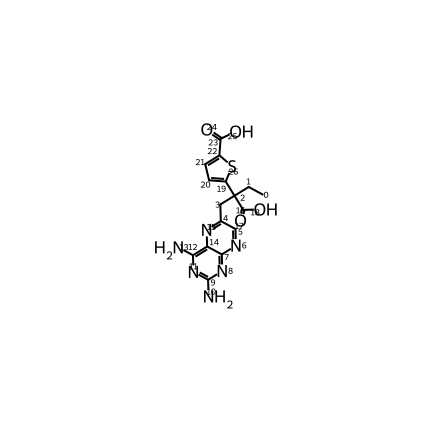 CCC(Cc1cnc2nc(N)nc(N)c2n1)(C(=O)O)c1ccc(C(=O)O)s1